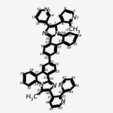 Cc1ncccc1-c1c(-c2cccnc2)nc2c3ccc(-c4ccc5c(c4)c4ccccc4n4c(C)c(-c6cccnc6-c6ccccn6)nc54)cc3c3ccccc3n12